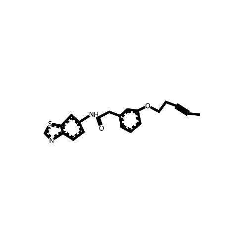 CC#CCCOc1cccc(CC(=O)Nc2ccc3ncsc3c2)c1